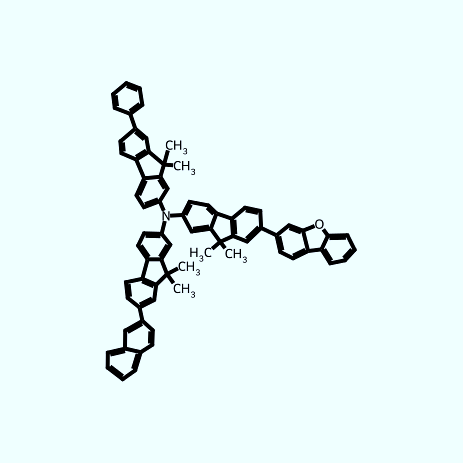 CC1(C)c2cc(-c3ccccc3)ccc2-c2ccc(N(c3ccc4c(c3)C(C)(C)c3cc(-c5ccc6ccccc6c5)ccc3-4)c3ccc4c(c3)C(C)(C)c3cc(-c5ccc6c(c5)oc5ccccc56)ccc3-4)cc21